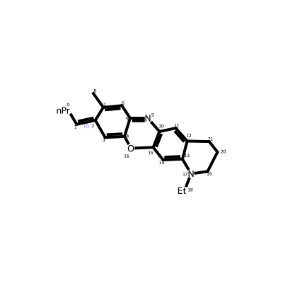 CCC/C=c1/cc2c(cc1C)=Nc1cc3c(cc1O2)N(CC)CCC3